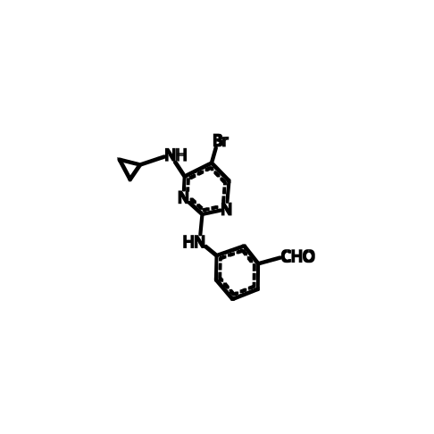 O=Cc1cccc(Nc2ncc(Br)c(NC3CC3)n2)c1